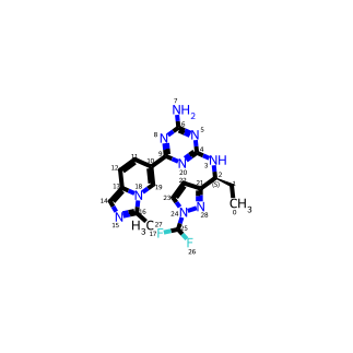 CC[C@H](Nc1nc(N)nc(-c2ccc3cnc(C)n3c2)n1)c1ccn(C(F)F)n1